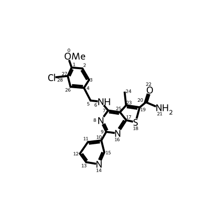 COc1ccc(CNc2nc(-c3cccnc3)nc3sc(C(N)=O)c(C)c23)cc1Cl